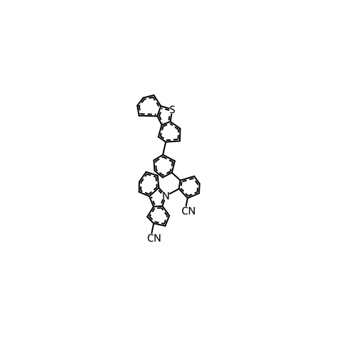 N#Cc1ccc2c(c1)c1ccccc1n2-c1c(C#N)cccc1-c1cccc(-c2ccc3sc4ccccc4c3c2)c1